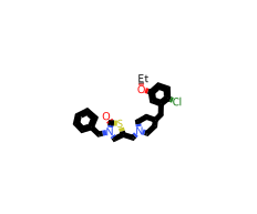 CCOc1ccc(Cl)c(CC2CCN(CC3CN(Cc4ccccc4)C(=O)S3)CC2)c1